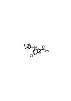 CCOC(=O)C1=C[N+]2C(Nc3cc(C)[nH]n3)=CN(Cl)CC2=N1